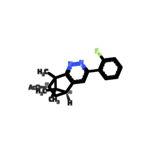 CC(=O)O[C@H]1C[C@@H]2c3cc(-c4ccccc4F)nnc3C1(C)C2(C)C